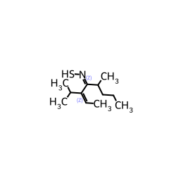 C/C=C(\C(=N/S)C(C)CCC)C(C)C